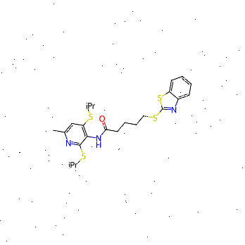 Cc1cc(SC(C)C)c(NC(=O)CCCCSc2nc3ccccc3s2)c(SC(C)C)n1